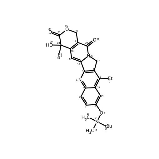 CCc1c2c(nc3ccc(O[Si](C)(C)C(C)(C)C)cc13)-c1cc3c(c(=O)n1C2)COC(=O)C3(O)CC